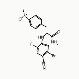 C[S+]([O-])c1ccc(C[C@@H](Nc2cc(Br)c(C#N)cc2F)C(N)=O)cc1